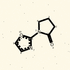 O=C1CCCN1c1ncco1